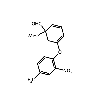 COC1(C=O)C=CC=C(Oc2ccc(C(F)(F)F)cc2[N+](=O)[O-])C1